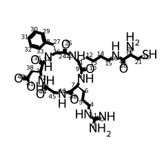 N=C(N)NCCC[C@@H]1NC(=O)[C@@H](CCCCNC(=O)[C@H](N)CS)NC(=O)[C@@H](Cc2ccccc2)NC(=O)[C@H](CC(=O)O)NC(=O)CNC1=O